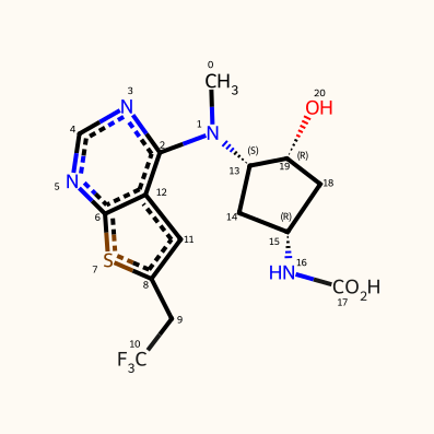 CN(c1ncnc2sc(CC(F)(F)F)cc12)[C@H]1C[C@@H](NC(=O)O)C[C@H]1O